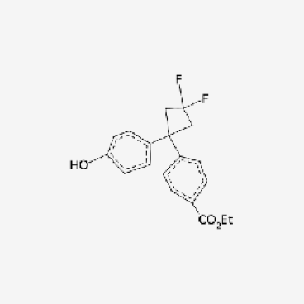 CCOC(=O)c1ccc(C2(c3ccc(O)cc3)CC(F)(F)C2)cc1